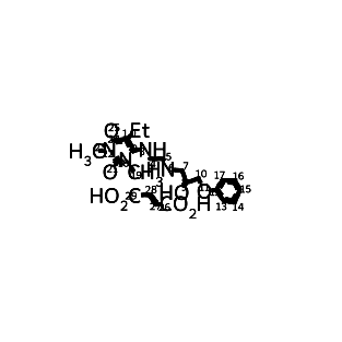 CCc1c(NCCNCC(O)COc2ccccc2)n(C)c(=O)n(C)c1=O.O=C(O)/C=C/C(=O)O